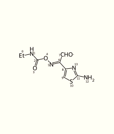 CCNC(=O)ON=C([C]=O)c1csc(N)n1